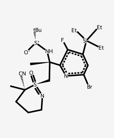 CC[Si](CC)(CC)c1cc(Br)nc([C@](C)(C[S@@]2(=O)=NCCC[C@]2(C)C#N)N[S@+]([O-])C(C)(C)C)c1F